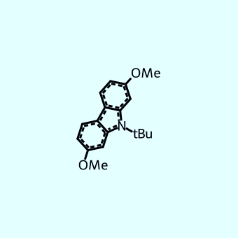 COc1ccc2c3ccc(OC)cc3n(C(C)(C)C)c2c1